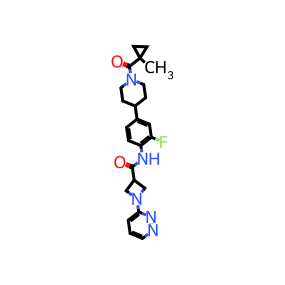 CC1(C(=O)N2CCC(c3ccc(NC(=O)C4CN(c5cccnn5)C4)c(F)c3)CC2)CC1